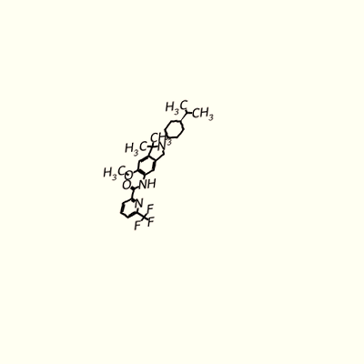 COc1cc2c(cc1NC(=O)c1cccc(C(F)(F)F)n1)CN([C@H]1CC[C@H](C(C)C)CC1)C2(C)C